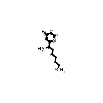 CCCCCCC(C)c1cc(F)ccn1